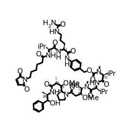 CC[C@H](C)[C@@H]([C@@H](CC(=O)N1CCC[C@H]1[C@H](OC)[C@@H](C)C(=O)N[C@H](C)C(O)c1ccccc1)OC)N(C)C(=O)[C@@H](NC(=O)[C@H](C(C)C)N(C)C(=O)OCc1ccc(NC(=O)[C@H](CCCNC(N)=O)NC(=O)[C@@H](NC(=O)CCCCCN2C(=O)C=CC2=O)C(C)C)cc1)C(C)C